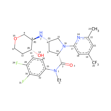 CCN(C(=O)[C@@H]1C[C@H](N[C@@H]2COCC[C@H]2O)CN1c1cc(C(F)(F)F)cc(C)n1)c1ccc(F)c(F)c1